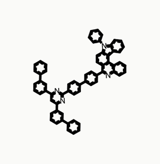 c1ccc(-c2cccc(-c3cc(-c4cccc(-c5ccccc5)c4)nc(-c4ccc(-c5ccc(-c6nc7ccccc7c7c6ccc6c7c7ccccc7n6-c6ccccc6)cc5)cc4)n3)c2)cc1